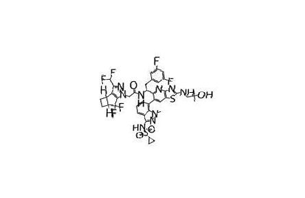 Cn1nc(NS(=O)(=O)C2CC2)c2cccc(-c3cc4sc(NCC(C)(C)O)nc4nc3[C@H](Cc3cc(F)cc(F)c3)NC(=O)Cn3nc(C(F)F)c4c3C(F)(F)[C@@H]3CC[C@H]43)c21